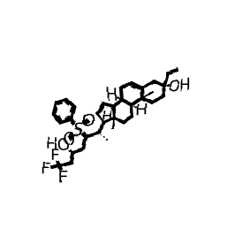 CC[C@]1(O)CC[C@@]2(C)C(=CC[C@H]3[C@@H]4CC[C@H]([C@H](C)C(CC(O)CC(F)(F)F)S(=O)(=O)c5ccccc5)[C@@]4(C)CC[C@@H]32)C1